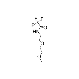 COCCOCCNC(=O)C(F)(F)F